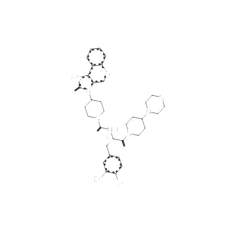 CCc1ccc(C[C@@H](NC(=O)N2CCC(n3c(=O)[nH]c4c5ccccc5ncc43)CC2)C(=O)N2CCC(N3CC[N]CC3)CC2)cc1CC